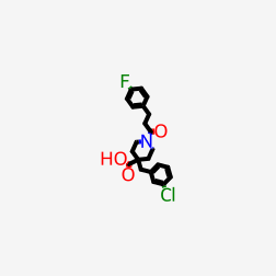 O=C(CCc1ccc(F)cc1)N1CCC(Cc2cccc(Cl)c2)(C(=O)O)CC1